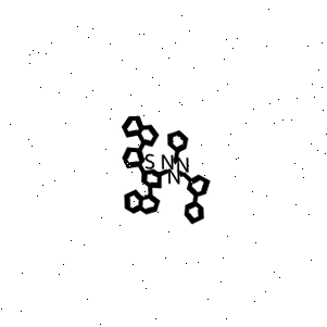 c1ccc(-c2cccc(-c3nc(-c4ccccc4)nc(-c4cc(-c5cccc6ccccc56)cc5c4sc4c(-c6cccc7ccccc67)cccc45)n3)c2)cc1